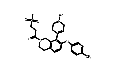 CC(=O)N1CC=C(c2c(Oc3ccc(C(F)(F)F)cc3)ccc3c2CN(C(=O)CCS(C)(=O)=O)CC3)CC1